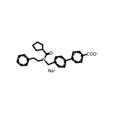 O=C([O-])c1ccc(-c2ccc(CN(CCc3ccccc3)C(=O)C3CCCC3)cc2)cc1.[Na+]